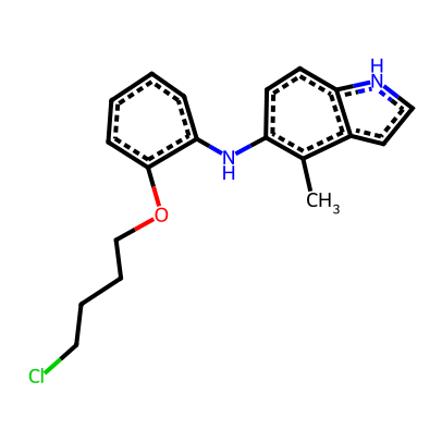 Cc1c(Nc2ccccc2OCCCCCl)ccc2[nH]ccc12